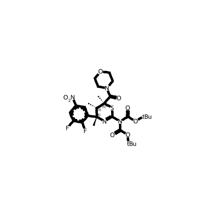 C[C@@H]1[C@@](C)(C(=O)N2CCOCC2)SC(N(C(=O)OC(C)(C)C)C(=O)OC(C)(C)C)=N[C@]1(C)c1cc([N+](=O)[O-])cc(F)c1F